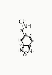 ClNCc1ccc2nsnc2c1